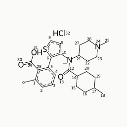 Cc1cccc(-c2sccc2N(C(=O)C2CCC(C)CC2)C2CCN(C)CC2)c1C(=O)O.Cl